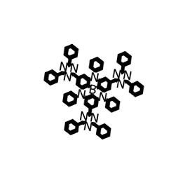 c1ccc(-c2nc(-c3ccccc3)nc(-c3cc4c5c(c3)N(c3ccccc3)c3cc(-c6nc(-c7ccccc7)nc(-c7ccccc7)n6)cc6c3B5c3c(cc(-c5nc(-c7ccccc7)nc(-c7ccccc7)n5)cc3N6c3ccccc3)N4c3ccccc3)n2)cc1